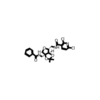 CC1(C)O[C@@H]2[C@@H](CNC(=O)c3ccc(Cl)nc3Cl)OC[C@]2(CNC(=O)c2ccccc2)O1